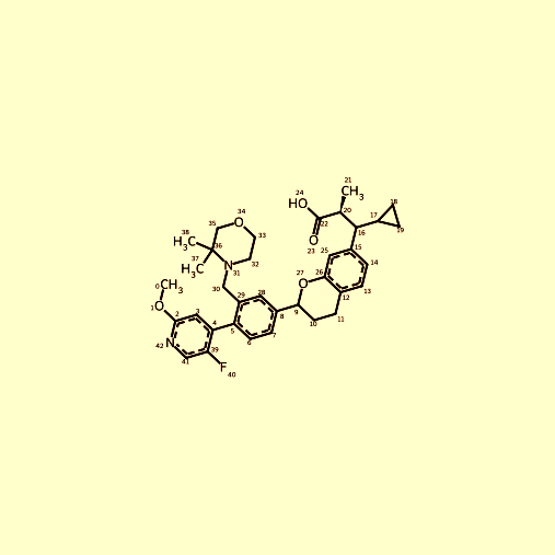 COc1cc(-c2ccc(C3CCc4ccc(C(C5CC5)[C@H](C)C(=O)O)cc4O3)cc2CN2CCOCC2(C)C)c(F)cn1